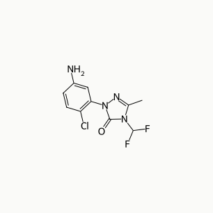 Cc1nn(-c2cc(N)ccc2Cl)c(=O)n1C(F)F